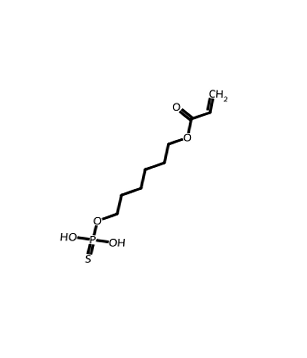 C=CC(=O)OCCCCCCOP(O)(O)=S